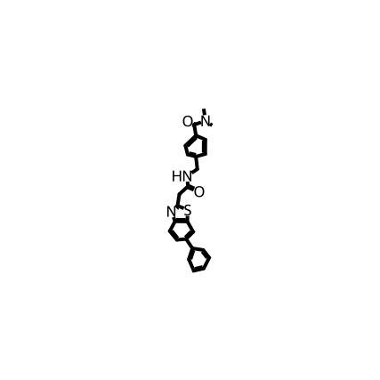 CN(C)C(=O)c1ccc(CNC(=O)Cc2nc3ccc(-c4ccccc4)cc3s2)cc1